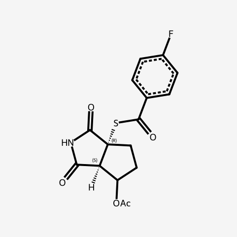 CC(=O)OC1CC[C@]2(SC(=O)c3ccc(F)cc3)C(=O)NC(=O)[C@H]12